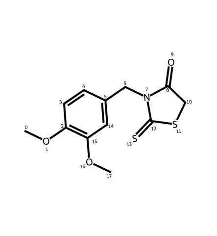 COc1ccc(CN2C(=O)CSC2=S)cc1OC